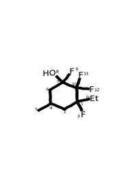 CCC1(F)CC(C)CC(O)(F)C1(F)F